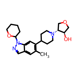 Cc1cc2cnn(C3CCCCO3)c2cc1C1CCN([C@@H]2COC[C@H]2O)CC1